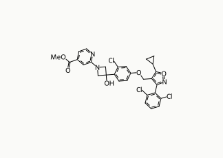 COC(=O)c1ccnc(N2CC(O)(c3ccc(OCc4c(-c5c(Cl)cccc5Cl)noc4C4CC4)cc3Cl)C2)c1